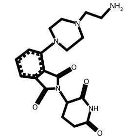 NCCN1CCN(c2cccc3c2C(=O)N(C2CCC(=O)NC2=O)C3=O)CC1